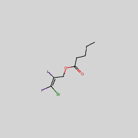 CCCCC(=O)OC/C(I)=C(\Br)I